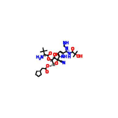 CC(C)(O)C(=O)N/C(=N/C=N)c1ccc([C@]2(C#N)O[C@H](COC(=O)CC3CCCC3)[C@@H](OC(=O)[C@H](N)C(C)(C)C)[C@H]2O)[nH]1